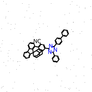 N#Cc1cc(-c2nc(-c3ccccc3)nc(-c3ccc(-c4ccccc4)cc3)n2)ccc1-c1cccc2c1C1(c3ccccc3-2)C2CC3CC(C2)CC1C3